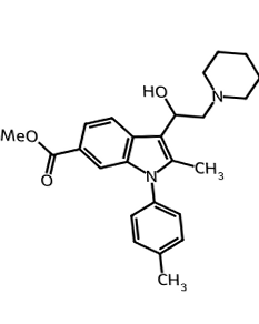 COC(=O)c1ccc2c(C(O)CN3CCCCC3)c(C)n(-c3ccc(C)cc3)c2c1